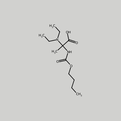 CCCCOC(=O)NC(C)(C(=O)O)N(CC)CC